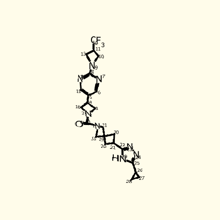 O=C(N1CC(c2cnc(N3CC(C(F)(F)F)C3)nc2)C1)N1CC2(CC(c3nnc(C4CC4)[nH]3)C2)C1